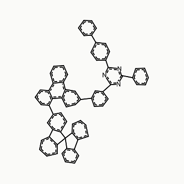 c1ccc(-c2ccc(-c3nc(-c4ccccc4)nc(-c4cccc(-c5ccc6c(c5)c5ccccc5c5cccc(-c7ccc8c(c7)-c7ccccc7C87c8ccccc8-c8ccccc87)c56)c4)n3)cc2)cc1